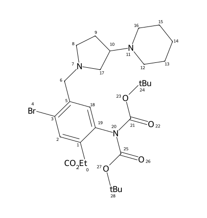 CCOC(=O)c1cc(Br)c(CN2CCC(N3CCCCC3)C2)cc1N(C(=O)OC(C)(C)C)C(=O)OC(C)(C)C